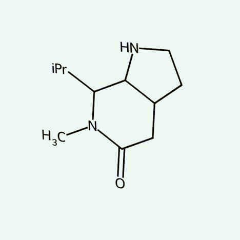 CC(C)C1C2NCCC2CC(=O)N1C